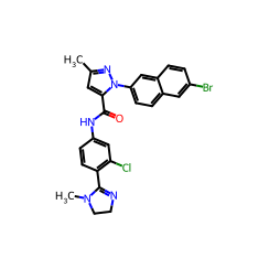 Cc1cc(C(=O)Nc2ccc(C3=NCCN3C)c(Cl)c2)n(-c2ccc3cc(Br)ccc3c2)n1